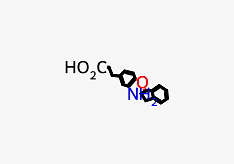 Nc1cc(CCC(=O)O)ccc1OC1CCc2ccccc21